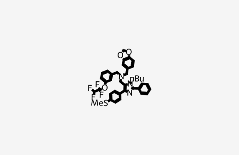 CCCCn1c(-c2ccccc2)nc(-c2ccc(SC)cc2)c1CN(Cc1cccc(OC(F)(F)C(F)F)c1)Cc1ccc2c(c1)OCO2